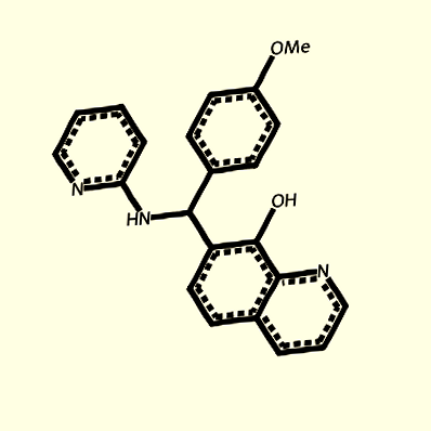 COc1ccc(C(Nc2ccccn2)c2ccc3cccnc3c2O)cc1